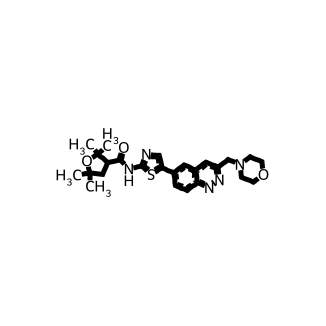 CC1(C)CC(C(=O)Nc2ncc(-c3ccc4nnc(CN5CCOCC5)cc4c3)s2)C(C)(C)O1